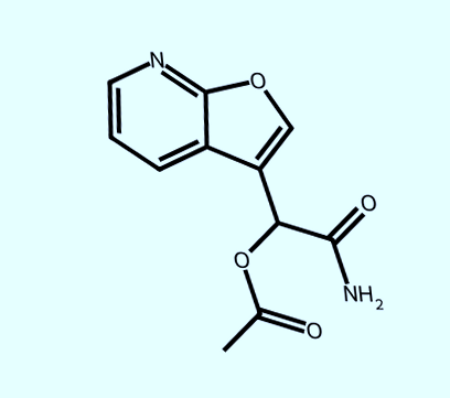 CC(=O)OC(C(N)=O)c1coc2ncccc12